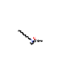 C=CCCCCCCCCN1CCC[C@H]1C(=O)OC